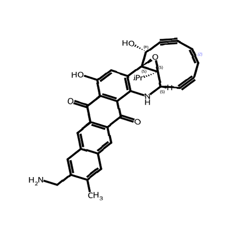 Cc1cc2cc3c(cc2cc1CN)C(=O)c1c(O)cc2c(c1C3=O)N[C@H]1C#C/C=C\C#C[C@@H](O)[C@@]23O[C@@]13C(C)C